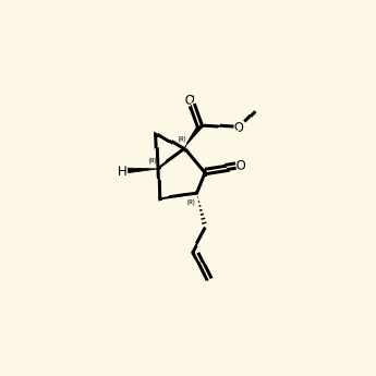 C=CC[C@@H]1C[C@@H]2C[C@]2(C(=O)OC)C1=O